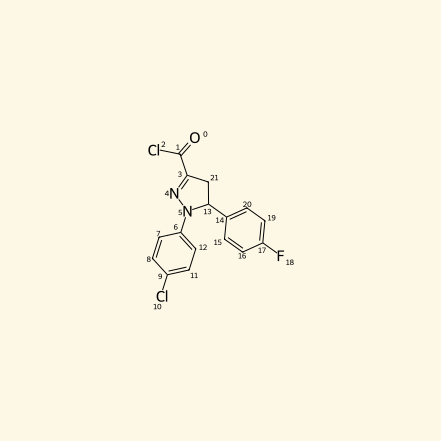 O=C(Cl)C1=NN(c2ccc(Cl)cc2)C(c2ccc(F)cc2)C1